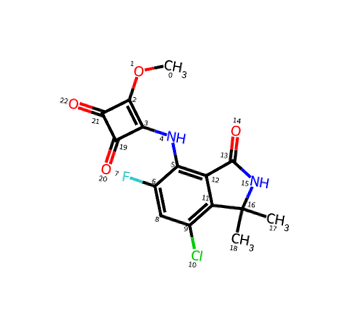 COc1c(Nc2c(F)cc(Cl)c3c2C(=O)NC3(C)C)c(=O)c1=O